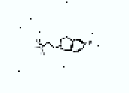 CCc1ccc2c(c1)CCN(CCS(C)(=O)=O)C2